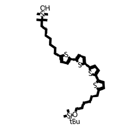 CC(C)(CCCCCCCc1ccc(-c2ccc(-c3ccc(-c4ccc(CCCCCCO[Si](C)(C)C(C)(C)C)s4)s3)s2)s1)[Si](C)(C)O